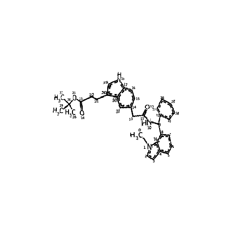 Cn1ccc2cccc(C(NC(=O)Cc3ccc4[nH]cc(CCC(=O)OC(C)(C)C)c4c3)c3ccccc3)c21